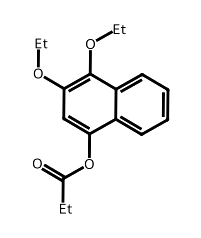 CCOc1cc(OC(=O)CC)c2ccccc2c1OCC